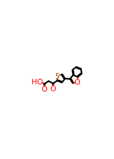 O=C(O)CC(=O)c1cc(-c2coc3ccccc23)cs1